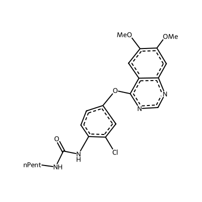 CCCCCNC(=O)Nc1ccc(Oc2ncnc3cc(OC)c(OC)cc23)cc1Cl